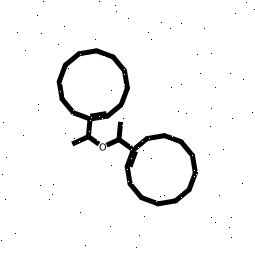 CC(OC(C)C1=CCCCCCCCCCC1)C1=CCCCCCCCCCC1